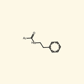 CC(=O)C(=O)NCCc1ccccc1